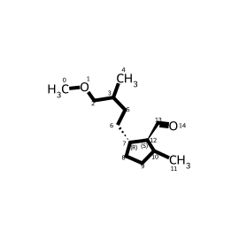 COCC(C)CC[C@H]1CCC(C)[C@@H]1C=O